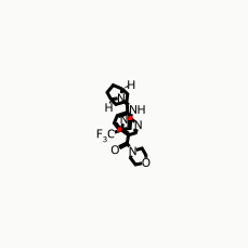 O=C(c1cnc(N[C@@H]2C[C@H]3CC[C@@H](C2)N3Cc2ccccc2)nc1C(F)(F)F)N1CCOCC1